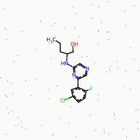 CCCC(CO)Nc1cncc(-c2cc(Cl)ccc2F)n1